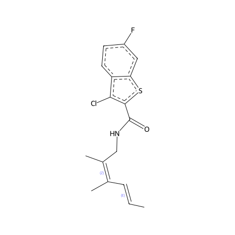 C/C=C/C(C)=C(/C)CNC(=O)c1sc2cc(F)ccc2c1Cl